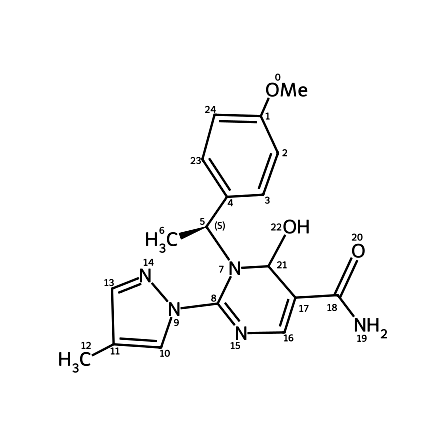 COc1ccc([C@H](C)N2C(n3cc(C)cn3)=NC=C(C(N)=O)C2O)cc1